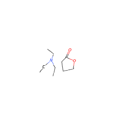 CCN(CC)CC.O=C1CCCO1